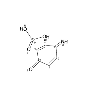 N=C1C=CC(=O)C=C1.O=S(O)O